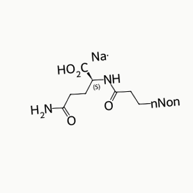 CCCCCCCCCCCC(=O)N[C@@H](CCC(N)=O)C(=O)O.[Na]